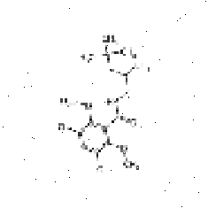 COc1c(Cl)cc(Cl)c(OC)c1C(=O)PCC(C)CC(C)(C)C